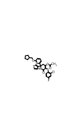 CC(=O)OC1=C(Sc2ccc(F)cc2Cl)C(=O)NC(c2ccsc2)(c2cccc(OCC3CCCC3)n2)C1